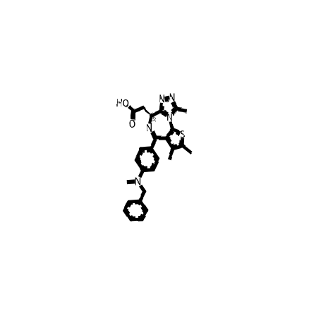 Cc1sc2c(c1C)C(c1ccc(N(C)Cc3ccccc3)cc1)=N[C@@H](CC(=O)O)c1nnc(C)n1-2